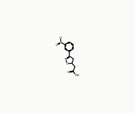 O=C(O)CC1CC(c2cccc([N+](=O)[O-])c2)=NO1